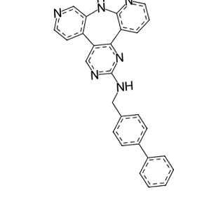 c1ccc(-c2ccc(CNc3ncc4c(n3)-c3cccnc3Nc3cnccc3-4)cc2)cc1